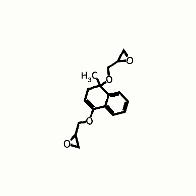 CC1(OCC2CO2)CC=C(OCC2CO2)c2ccccc21